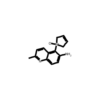 Cc1ccc2c([N+]3([O-])CC=CC3)c(N)ccc2n1